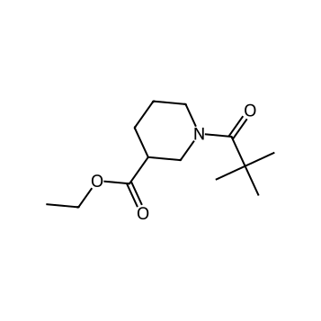 CCOC(=O)C1CCCN(C(=O)C(C)(C)C)C1